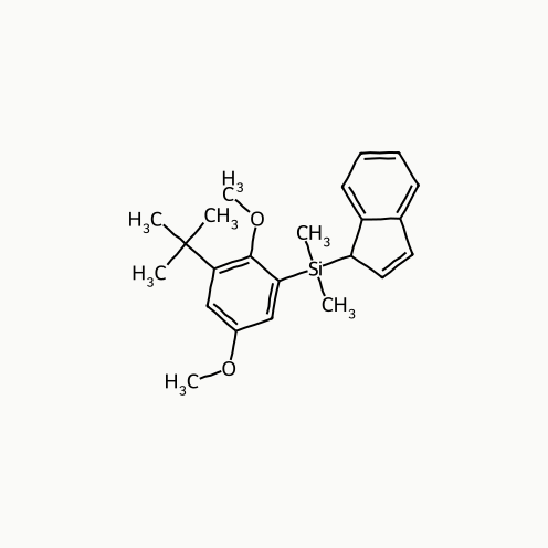 COc1cc(C(C)(C)C)c(OC)c([Si](C)(C)C2C=Cc3ccccc32)c1